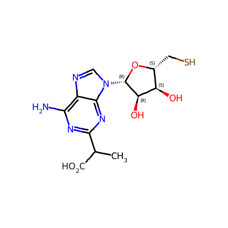 CC(C(=O)O)c1nc(N)c2ncn([C@@H]3O[C@H](CS)[C@@H](O)[C@H]3O)c2n1